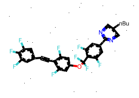 CCCCc1cnc(-c2cc(F)c(C(F)(F)Oc3cc(F)c(C#Cc4cc(F)c(F)c(F)c4)c(F)c3)c(F)c2)nc1